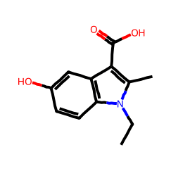 CCn1c(C)c(C(=O)O)c2cc(O)ccc21